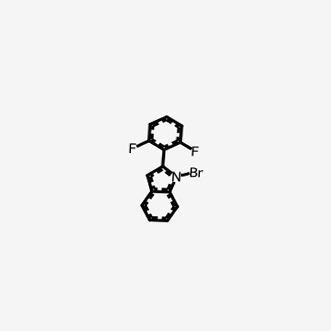 Fc1cccc(F)c1-c1cc2ccccc2n1Br